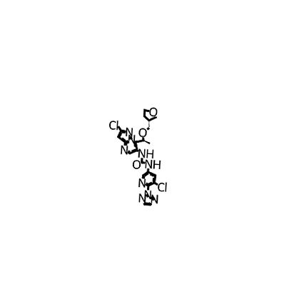 C[C@H](OC[C@@H]1CCOC1)c1c(NC(=O)Nc2cnc(-n3nccn3)c(Cl)c2)cnc2cc(Cl)nn12